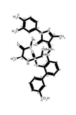 COCP(=O)(N[C@@H](C)C(=O)OC(C)C)Oc1c(N/N=C2\C(=O)N(c3ccc(C)c(C)c3)N=C2C)cccc1-c1cccc(C(=O)O)c1